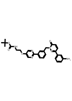 CC(C)(C)OC(=O)NCCOc1cnc(-c2cccc(Cn3nc(-c4cccc(N)c4)ccc3=O)c2)nc1